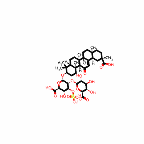 CC1(C)[C@@H](O[C@H]2O[C@H](C(=O)O)[C@@H](O)[C@H](OS(=O)(=O)O)[C@H]2O[C@@H]2O[C@H](C(=O)O)[C@@H](O)[C@H](O)[C@H]2O)CC[C@]2(C)[C@H]3C(=O)C=C4[C@@H]5C[C@@](C)(C(=O)O)CC[C@]5(C)CC[C@@]4(C)[C@]3(C)CC[C@@H]12